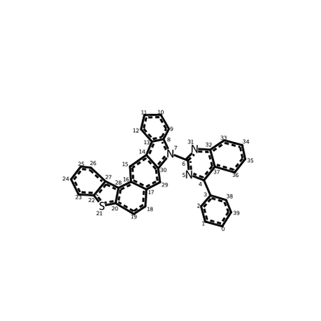 c1ccc(-c2nc(-n3c4ccccc4c4cc5c(ccc6sc7ccccc7c65)cc43)nc3ccccc23)cc1